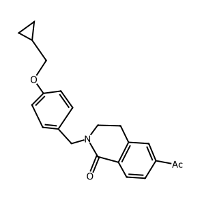 CC(=O)c1ccc2c(c1)CCN(Cc1ccc(OCC3CC3)cc1)C2=O